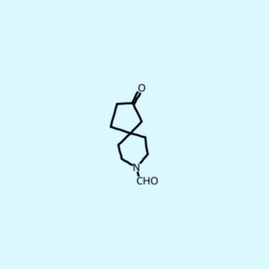 O=CN1CCC2(CCC(=O)C2)CC1